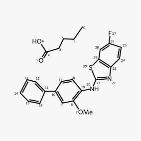 CCCCC(=O)O.COc1cc(-c2ccccc2)ccc1Nc1nc2ccc(F)cc2s1